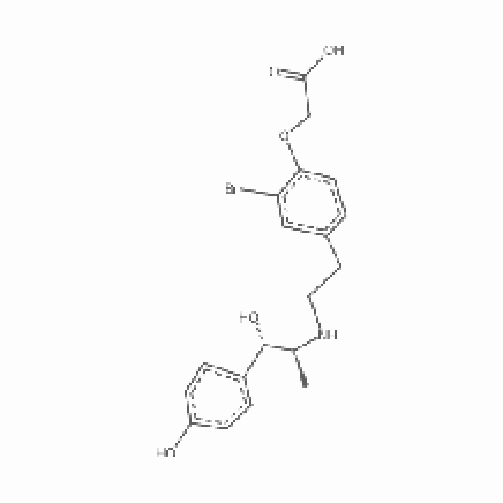 C[C@H](NCCc1ccc(OCC(=O)O)c(Br)c1)[C@@H](O)c1ccc(O)cc1